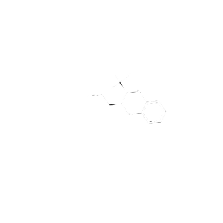 CCC[C@@H]1Cc2ccccc2N[C@@H]1C(C)(C)C